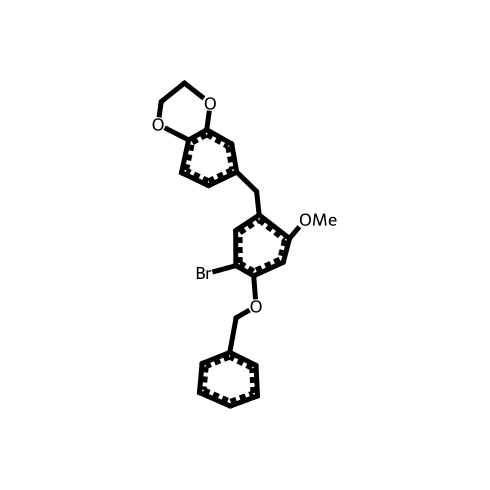 COc1cc(OCc2ccccc2)c(Br)cc1Cc1ccc2c(c1)OCCO2